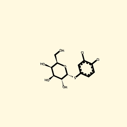 OC[C@H]1O[C@H](Sc2ccc(Cl)c(Cl)c2)[C@H](O)[C@@H](O)[C@H]1O